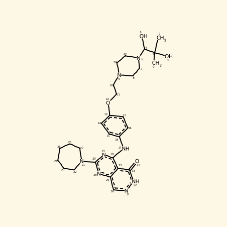 CC(C)(O)C(O)N1CCN(CCOc2ccc(Nc3nc(N4CCCCCC4)nc4cn[nH]c(=O)c34)cc2)CC1